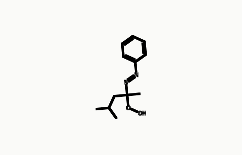 CC(C)CC(C)(/N=N/c1ccccc1)OO